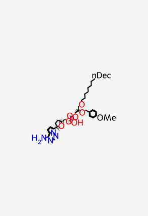 CCCCCCCCCCCCCCCCCCOC[C@H](COP(=O)(O)OC[C@@H]1CC[C@](C)(c2ccc3c(N)ncnn23)O1)OCc1ccc(OC)cc1